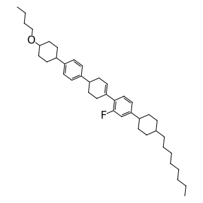 CCCCCCCCC1CCC(c2ccc(C3=CCC(c4ccc(C5CCC(OCCCC)CC5)cc4)CC3)c(F)c2)CC1